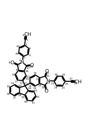 C#Cc1ccc(N2C(=O)c3ccc(C4(c5ccc6c(c5)C(=O)N(c5ccc(C#C)cc5)C6=O)c5ccccc5-c5ccccc54)cc3C2=O)cc1